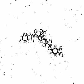 CC1C=NC(CNC(=O)C23CCC(NC(=O)COc4ccc(Cl)c(F)c4)(CC2)CC3O)CC1